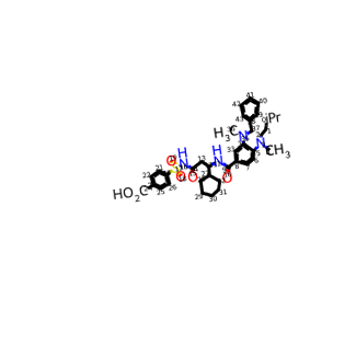 CC(C)CCN(C)c1ccc(C(=O)NC(CC(=O)NS(=O)(=O)c2ccc(C(=O)O)cc2)C2CCCCC2)cc1N(C)Cc1ccccc1